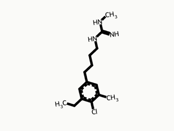 CCc1cc(CCCCNC(=N)NC)cc(C)c1Cl